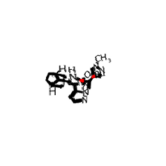 Cn1cc(-c2cn3nccc3c(N3C[C@H]4CC[C@@H](C3)C4CNC(=O)OC(C)(C)C)n2)cn1